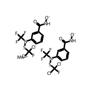 O=C(N[O-])c1cccc(N(SC(F)(Cl)Cl)C(F)(F)F)c1.O=C(N[O-])c1cccc(N(SC(F)(Cl)Cl)C(F)(F)F)c1.[Mn+2]